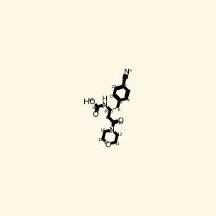 N#Cc1ccc(C[C@H](CC(=O)N2CCOCC2)NC(=O)O)cc1